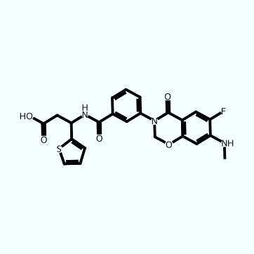 CNc1cc2c(cc1F)C(=O)N(c1cccc(C(=O)NC(CC(=O)O)c3cccs3)c1)CO2